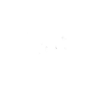 COC(=O)[C@@H](CC#N)NC(=O)C(c1ccccc1)c1ccccc1